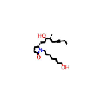 CCC#CC[C@H](C)[C@@H](O)C=C[C@H]1CCC(=O)N1CCCCCCCO